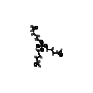 O=P(OCCCC1CO1)(OCCCC1CO1)OCCCC1CO1